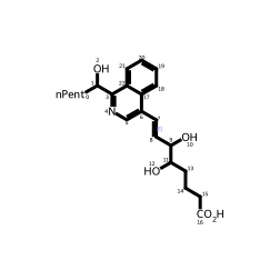 CCCCCC(O)c1ncc(/C=C/C(O)C(O)CCCC(=O)O)c2ccccc12